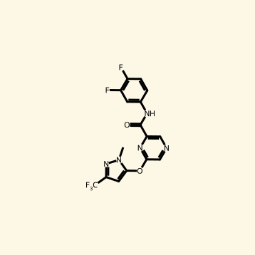 Cn1nc(C(F)(F)F)cc1Oc1cncc(C(=O)Nc2ccc(F)c(F)c2)n1